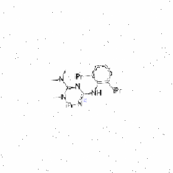 CC(C)/N=C(\N=C(N(C)C)N(C)C)Nc1c(C(C)C)cccc1C(C)C